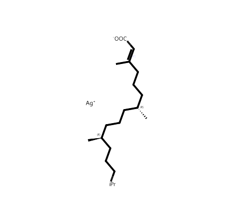 C/C(=C\C(=O)[O-])CCC[C@H](C)CCC[C@H](C)CCCC(C)C.[Ag+]